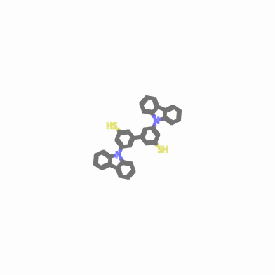 Sc1cc(-c2cc(S)cc(-n3c4ccccc4c4ccccc43)c2)cc(-n2c3ccccc3c3ccccc32)c1